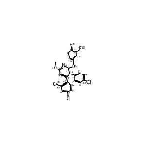 COc1nc(Oc2ccc(F)c(F)c2)c(-c2ccc(Cl)cc2)c(-c2ccc(Cl)cc2Cl)n1